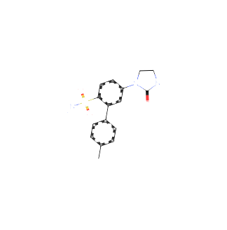 Cc1ccc(-c2cc(N3CCNC3=O)ccc2S(N)(=O)=O)cc1